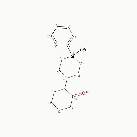 CCC[Si]1(c2ccccc2)CCC(C2CCCCC2=O)CC1